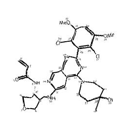 C=CC(=O)N[C@H]1COCC1Nc1cc2c(N3CCC(C)(C#N)CC3)nc(-c3c(Cl)c(OC)cc(OC)c3Cl)nc2cn1